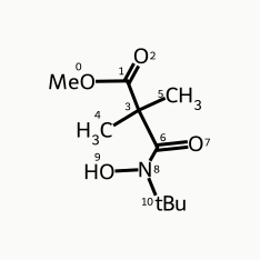 COC(=O)C(C)(C)C(=O)N(O)C(C)(C)C